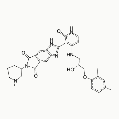 Cc1ccc(OC[C@H](O)CNc2cc[nH]c(=O)c2-c2nc3cc4c(cc3[nH]2)C(=O)N(C2CCCN(C)C2)C4=O)c(C)c1